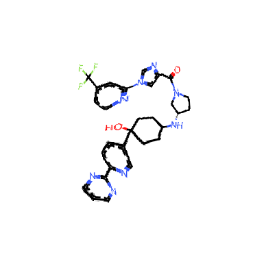 O=C(c1cn(-c2cc(C(F)(F)F)ccn2)cn1)N1CC[C@H](NC2CCC(O)(c3ccc(-c4ncccn4)nc3)CC2)C1